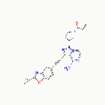 C=CC(=O)N1CC[C@H](c2nc(C#Cc3ccc4oc(C5CC5)nc4c3)c3c(N)nccn23)C1